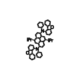 CC(C)c1cc2c(N(c3ccccc3)c3cccc4oc5ccccc5c34)ccc3c(C(C)C)cc4c(N(c5ccccc5)c5cccc6oc7ccccc7c56)ccc1c4c32